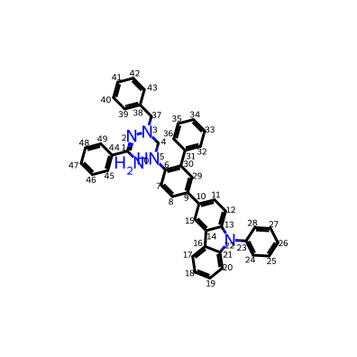 N/C(=N\N(CNc1ccc(-c2ccc3c(c2)c2ccccc2n3-c2ccccc2)cc1-c1ccccc1)Cc1ccccc1)c1ccccc1